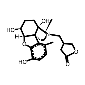 Cc1ccc(O)c2c1[C@]13CCN(CC4COC(=O)C4)[C@H](C)[C@]1(O)CC[C@H](O)[C@@H]3O2